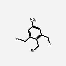 O=[N+]([O-])c1cc(CBr)c(CBr)c(CBr)c1